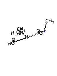 CCCCCC/C=C\COC(=O)CCCCCCCN(CCCCCCCC(=O)O)CCCNC(=S)N(C)C